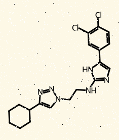 Clc1ccc(-c2cnc(NCCn3cc(C4CCCCC4)nn3)[nH]2)cc1Cl